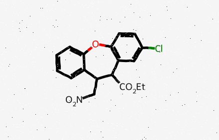 CCOC(=O)C1c2cc(Cl)ccc2Oc2ccccc2C1C[N+](=O)[O-]